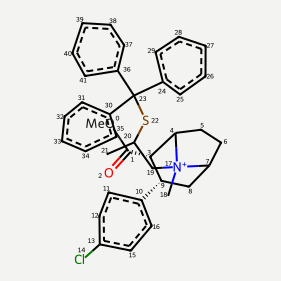 COC(=O)[C@@H]1C2CCC(C[C@@H]1c1ccc(Cl)cc1)[N+]2(C)CC(C)SC(c1ccccc1)(c1ccccc1)c1ccccc1